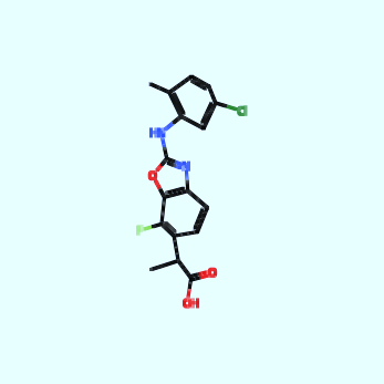 Cc1ccc(Cl)cc1Nc1nc2ccc(C(C)C(=O)O)c(F)c2o1